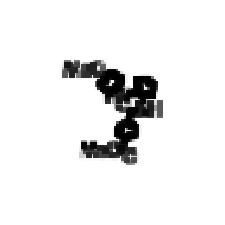 COC(=O)c1ccc(C(=O)Nc2ccccc2Nc2ccc(OC)cc2)cc1